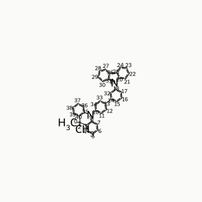 CC1(C)c2ccccc2N(c2ccc(-c3cccc(-n4c5ccccc5c5ccccc54)c3)cc2)c2ccccc21